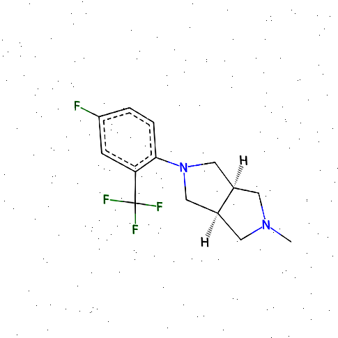 CN1C[C@@H]2CN(c3ccc(F)cc3C(F)(F)F)C[C@@H]2C1